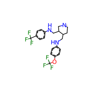 FC(F)(F)Oc1ccc(NCC2CC[N]CC2CNc2ccc(C(F)(F)F)cc2)cc1